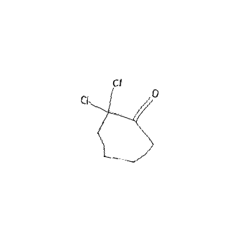 O=C1CCCCC1(Cl)Cl